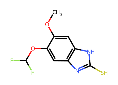 COc1cc2[nH]c(S)nc2cc1OC(F)F